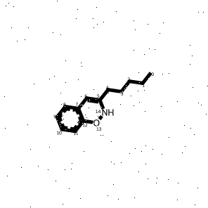 CCCCCC1=Cc2ccccc2ON1